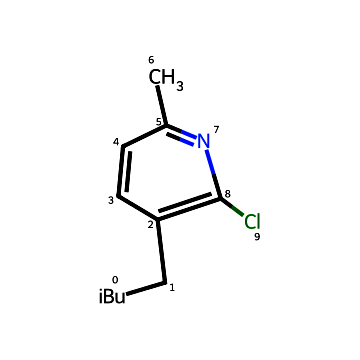 C[CH]C(C)Cc1ccc(C)nc1Cl